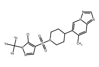 [2H]C([2H])([2H])n1ncc(S(=O)(=O)N2CCC(c3cn4ncnc4cc3C)CC2)c1Cl